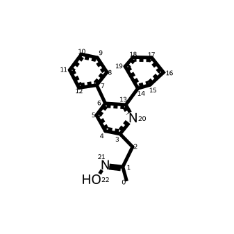 CC(Cc1ccc(-c2ccccc2)c(-c2ccccc2)n1)=NO